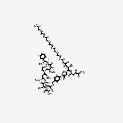 CC[C@@H](C)[C@H]([C@H](CC(=O)N1CCC[C@@H]1[C@@H](OC)[C@H](C)C(=O)N[C@@H](C)[C@H](O)c1ccccc1)OC)N(C)C(=O)C(NC(=O)[C@@H](C(C)C)N(C)C(=O)OCc1ccc(NC(=O)[C@H](CCCNC(N)=O)NC(=O)[C@@H](NC(=O)CCOCCOCCOCCOCCOCCOCCC(C)=O)C(C)C)cc1)C(C)C